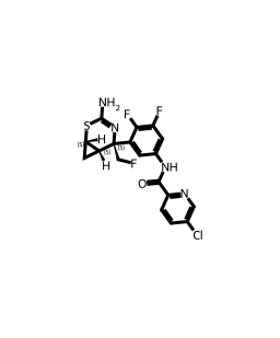 NC1=N[C@](CF)(c2cc(NC(=O)c3ccc(Cl)cn3)cc(F)c2F)[C@@H]2C[C@@H]2S1